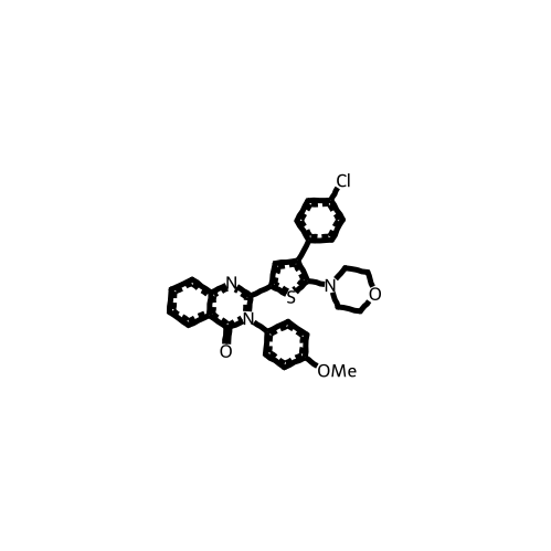 COc1ccc(-n2c(-c3cc(-c4ccc(Cl)cc4)c(N4CCOCC4)s3)nc3ccccc3c2=O)cc1